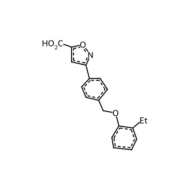 CCc1ccccc1OCc1ccc(-c2cc(C(=O)O)on2)cc1